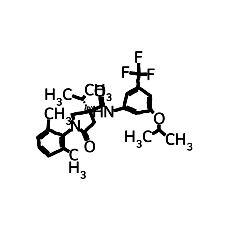 Cc1cccc(C)c1N1C[C@](C(=O)Nc2cc(OC(C)C)cc(C(F)(F)F)c2)(C(C)C)CC1=O